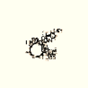 CCOc1ccc2nc(Cl)c(O[C@@H]3C[C@H]4C(=O)N[C@]5(C(=O)NS(=O)(=O)C6(CF)CC6)C[C@H]5/C=C\CC[C@@H](C)C[C@@H](C)[C@H](NC(=O)O)C(=O)N4C3)c(Cl)c2c1